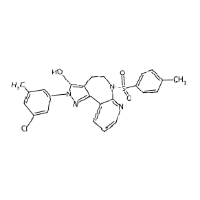 Cc1ccc(S(=O)(=O)N2CCc3c(nn(-c4cc(C)cc(Cl)c4)c3O)-c3cccnc32)cc1